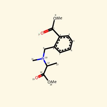 COC(=O)c1ccccc1CN(C)C(C)C(=O)OC